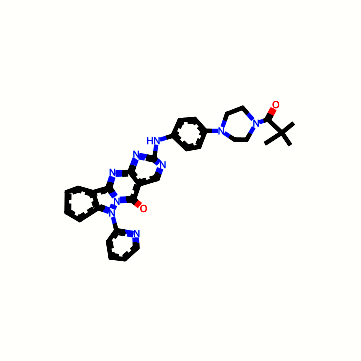 CC(C)(C)C(=O)N1CCN(c2ccc(Nc3ncc4c(=O)n5c(nc4n3)c3ccccc3n5-c3ccccn3)cc2)CC1